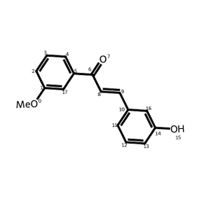 COc1cccc(C(=O)C=Cc2cccc(O)c2)c1